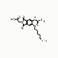 CCCCCCOc1cc2c(cc1NC(C)=O)C(=O)N(CC(=O)O)C2=O